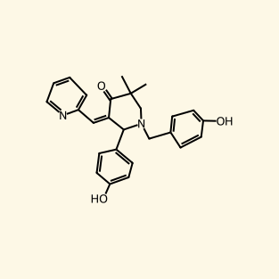 CC1(C)CN(Cc2ccc(O)cc2)C(c2ccc(O)cc2)C(=Cc2ccccn2)C1=O